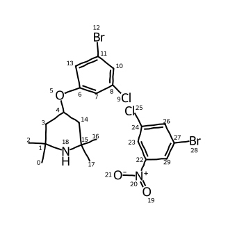 CC1(C)CC(Oc2cc(Cl)cc(Br)c2)CC(C)(C)N1.O=[N+]([O-])c1cc(Cl)cc(Br)c1